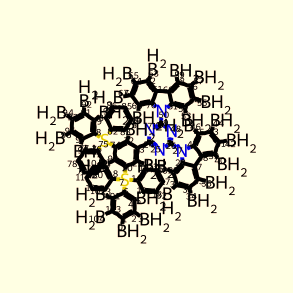 Bc1c(B)c(B)c(S(c2ccccc2)(c2ccccc2)c2c(B)c(-c3nc(-n4c5c(B)c(B)c(B)c(B)c5c5c(B)c(B)c(B)c(B)c54)nc(-n4c5c(B)c(B)c(B)c(B)c5c5c(B)c(B)c(B)c(B)c54)n3)c(B)c(S(c3ccccc3)(c3ccccc3)c3c(B)c(B)c(B)c(B)c3B)c2B)c(B)c1B